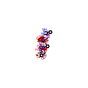 COc1c(C)cc2c(c1O)[C@H]1N[C@@H](C2)[C@H](C)N2[C@H]1[C@@H]1SC[C@]3(N[C@@H](CN)Cc4c3oc3cccc(C5Oc6c(C)c(OC(C)=O)c7c(c6O5)[C@@H]5COC(=O)[C@]6(CS[C@H]7[C@H]7[C@H]8c9c(cc(C)c(OC)c9O)C9(C)[C@@H]([C@H](C)N75)N89)N[C@@H](CN)Cc5c6[nH]c6ccccc56)c43)C(=O)OC[C@H]2c2c3c(c(C)c(OC(C)=O)c21)OCO3